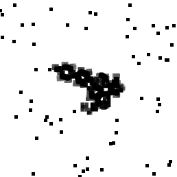 CCOc1c(Nc2cc(Nc3ccc(N4CCN(C)CC4)cn3)ncc2C(N)=O)cnn1C